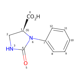 O=C(O)[C@@H]1CNC(=O)N1c1ccccc1